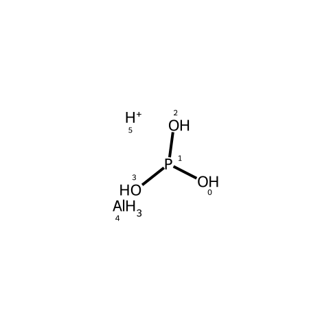 OP(O)O.[AlH3].[H+]